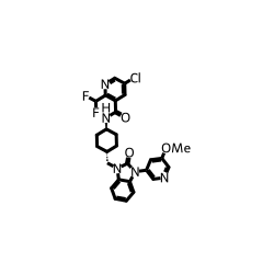 COc1cncc(-n2c(=O)n(C[C@H]3CC[C@H](NC(=O)c4cc(Cl)cnc4C(F)F)CC3)c3ccccc32)c1